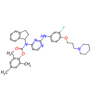 Cc1cc(C)c(OC(=O)N(c2ccnc(Nc3ccc(OCCCN4CCCCC4)c(F)c3)n2)C2CCc3ccccc32)c(C)c1